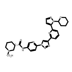 O=C(Nc1ccc(-n2cc(-c3cccc(-c4ccnn4C4CCCCO4)n3)nn2)nc1)[C@H]1CCCN(C(=O)O)C1